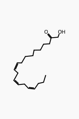 CCC/C=C\C/C=C\C/C=C\CCCCCCCC(=O)CO